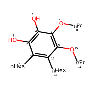 CCCCCCc1c(O)c(O)c(OCCC)c(OCCC)c1CCCCCC